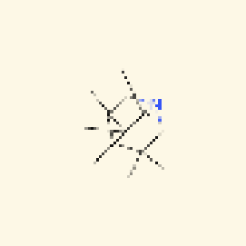 C[C]1N2CCC(C)(C(C)(C)C2)C1(C)C